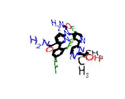 CC(C)(O)c1nccc(-c2ncc(F)c(N(C(N)=O)c3ccc(C(N)=O)c(-c4ccc(F)cc4F)n3)c2F)n1